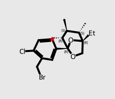 CC[C@@]12CO[C@@](c3ccc(Cl)c(CBr)c3)(O1)[C@H](C)[C@@H](C)[C@@H]2C